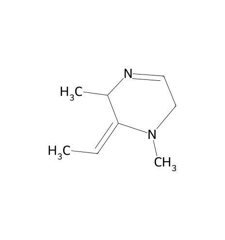 C/C=C1\C(C)N=CCN1C